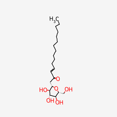 CCCCCCCCCCCC=CC(=O)C[C@@H]1O[C@H](CO)[C@@H](O)[C@H](O)[C@H]1O